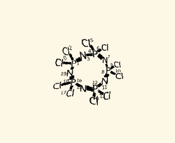 ClP1(Cl)=NP(Cl)(Cl)=NP(Cl)(Cl)=NP(Cl)(Cl)=NP(Cl)(Cl)=N1